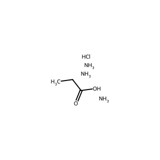 CCC(=O)O.Cl.N.N.N